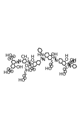 Cc1cc(N=Nc2c(S(=O)(=O)O)cc3ccc(N=Nc4c(Nc5ccccc5)ccc5c(O)c(N=Nc6ccc7c(O)c(N=Nc8ccccc8S(=O)(=O)O)c(SOOO)cc7c6)c(SOOO)cc45)cc3c2O)c(OCCCSOOO)cc1N=Nc1cc(S(=O)(=O)O)cc2cc(S(=O)(=O)O)cc(O)c12